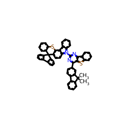 CC1(C)c2ccccc2-c2ccc(-c3nc(-n4c5ccccc5c5c6c(ccc54)C4(c5ccccc5S6)c5ccccc5-c5ccccc54)nc4c3sc3ccccc34)cc21